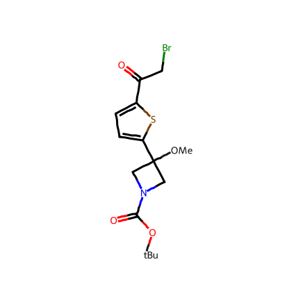 COC1(c2ccc(C(=O)CBr)s2)CN(C(=O)OC(C)(C)C)C1